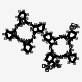 O=S(=O)([O-])c1ccc2c3nc4nc(nc5[nH]c(nc6nc(nc([nH]3)c2c1S(=O)(=O)[O-])-c1ccccc1-6)c1ccccc51)-c1ccccc1-4.[Co+2].[Co].c1ccc2c(c1)-c1nc-2nc2[nH]c(nc3nc(nc4[nH]c(n1)c1ccccc41)-c1ccccc1-3)c1ccccc21